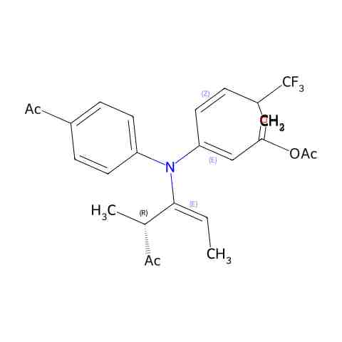 C=C(/C=C(\C=C/C(C)C(F)(F)F)N(/C(=C/C)[C@@H](C)C(C)=O)c1ccc(C(C)=O)cc1)OC(C)=O